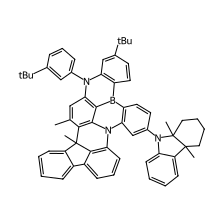 Cc1cc2c3c4c1C1(C)c5ccccc5-c5cccc(c51)N4c1cc(N4c5ccccc5C5(C)CCCCC45C)ccc1B3c1ccc(C(C)(C)C)cc1N2c1cccc(C(C)(C)C)c1